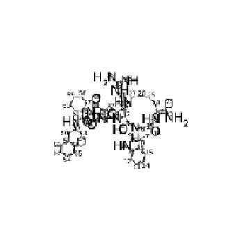 CN[C@@H]1C(=O)N[C@@H](Cc2c[nH]c3ccccc23)C(=O)N[C@H](C(N)=O)CCCCNC1(CCNC(=N)N)CC[C@@H]1NC(=O)N(C2(C(=O)N[C@@H](C=O)Cc3ccccc3)CCCCC2)C1=O